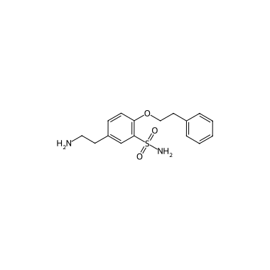 NCCc1ccc(OCCc2ccccc2)c(S(N)(=O)=O)c1